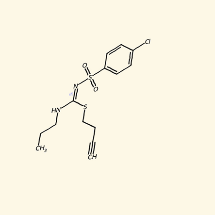 C#CCCS/C(=N\S(=O)(=O)c1ccc(Cl)cc1)NCCC